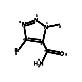 Cn1nnc(Br)c1C(N)=O